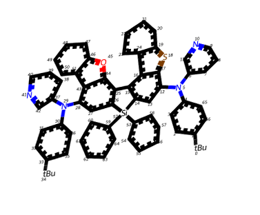 CC(C)(C)c1ccc(N(c2cccnc2)c2cc3c(c4c2sc2ccccc24)-c2c(cc(N(c4ccc(C(C)(C)C)cc4)c4cccnc4)c4c2oc2ccccc24)[Si]3(c2ccccc2)c2ccccc2)cc1